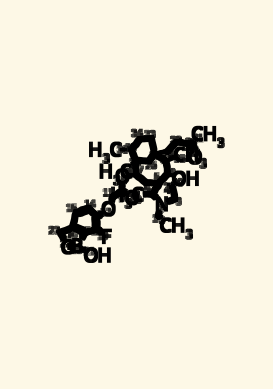 CCN1CC[C@@]2(C[C@@H](OC(=O)COc3ccc4c(c3F)B(O)OC4)[C@@]3(C)C[C@](CCC(C)=O)(CC[C@H]3C)[C@@H](C)[C@@H]2O)C1C